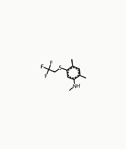 CNc1cc(SCC(F)(F)F)c(C)cc1C